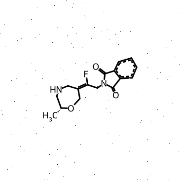 C[C@@H]1CNC/C(=C(\F)CN2C(=O)c3ccccc3C2=O)CO1